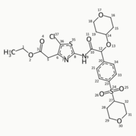 CCOC(=O)Cc1nc(NC(=O)C(OC2CCOCC2)c2ccc(S(=O)(=O)C3CCOCC3)cc2)sc1Cl